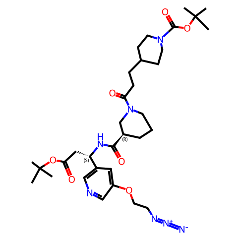 CC(C)(C)OC(=O)C[C@H](NC(=O)[C@@H]1CCCN(C(=O)CCC2CCN(C(=O)OC(C)(C)C)CC2)C1)c1cncc(OCCN=[N+]=[N-])c1